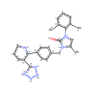 CCCc1cn(-c2c(C(C)C)cccc2C(C)C)c(=O)n1Cc1ccc(-c2ncccc2-c2nnn[nH]2)cc1